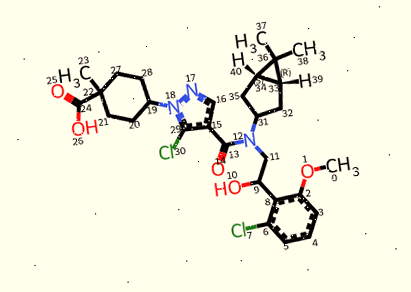 COc1cccc(Cl)c1C(O)CN(C(=O)c1cnn(C2CCC(C)(C(=O)O)CC2)c1Cl)C1C[C@@H]2[C@H](C1)C2(C)C